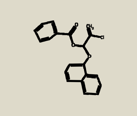 C=C(Cl)C(OC(=O)c1ccccc1)Oc1cccc2ccccc12